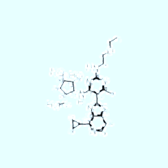 CCOCCNc1nc(C)c(-c2nc3c(C4CC4)nccc3s2)c(N[C@@H]2[C@H](CO)C[C@@H](O)[C@H]2O)n1